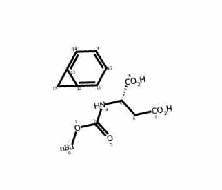 CCCCOC(=O)N[C@@H](CC(=O)O)C(=O)O.c1ccc2c(c1)C2